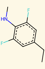 CCc1cc(F)c(NC)c(F)c1